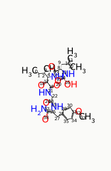 CC[C@H](C)C(NC(=O)[C@H](CC(C)C)NC(=O)O)C(=O)C(=O)NCC(=O)NC(Cc1ccc(OC)cc1)C(N)=O